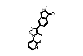 Cc1c(-c2ccc3c(c2)C[C@H](C)C3=O)nnn1-c1cccnc1F